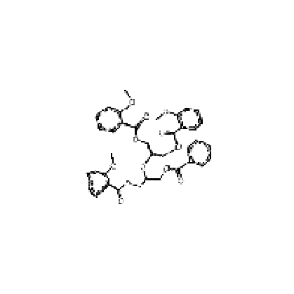 COc1ccccc1C(=O)OCC(COC(=O)c1ccccc1)OC(COC(=O)c1ccccc1OC)COC(=O)c1ccccc1OC